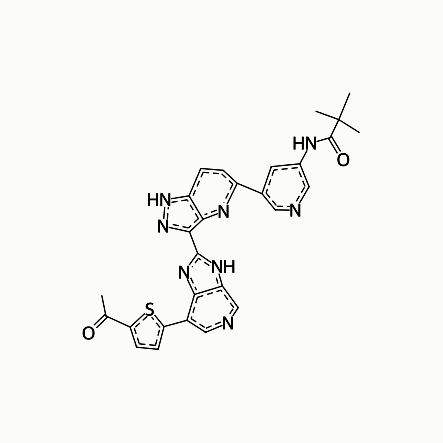 CC(=O)c1ccc(-c2cncc3[nH]c(-c4n[nH]c5ccc(-c6cncc(NC(=O)C(C)(C)C)c6)nc45)nc23)s1